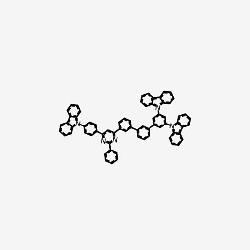 c1ccc(-c2nc(-c3ccc(-n4c5ccccc5c5ccccc54)cc3)cc(-c3cccc(-c4cccc(-c5cc(-n6c7ccccc7c7ccccc76)cc(-n6c7ccccc7c7ccccc76)c5)c4)c3)n2)cc1